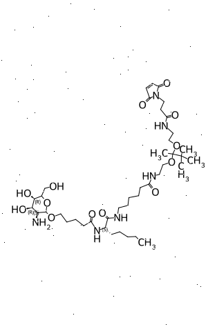 CCCCC[C@H](NC(=O)CCCCOC1OC(CO)[C@H](O)[C@H](O)[C@@H]1N)C(=O)NCCCCCC(=O)NCCOC(C)(OCCNC(=O)CCN1C(=O)C=CC1=O)C(C)(C)C